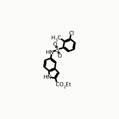 CCOC(=O)c1cc2cc(NS(=O)(=O)c3cccc(Cl)c3C)ccc2[nH]1